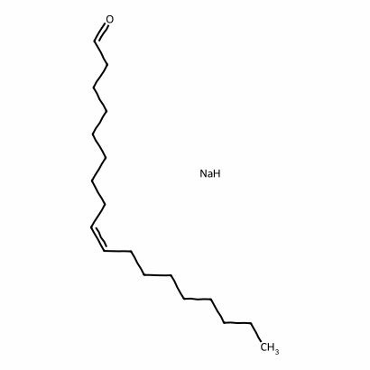 CCCCCCCC/C=C\CCCCCCCC=O.[NaH]